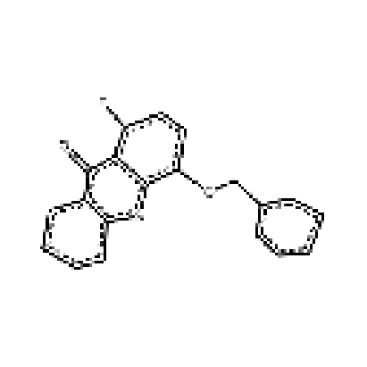 O=c1c2ccccc2sc2c(OCc3ccccc3)ccc(F)c12